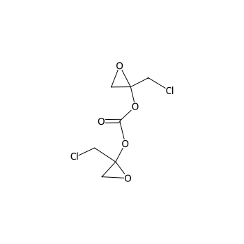 O=C(OC1(CCl)CO1)OC1(CCl)CO1